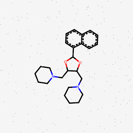 c1ccc2c(C3OC(CN4CCCCC4)C(CN4CCCCC4)O3)cccc2c1